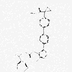 C/C=C\C(=C/C)C(C)OC(=O)Nc1c(C)noc1-c1ccc(-c2ccc(C3(C(=O)OCl)CC3)cc2)cc1